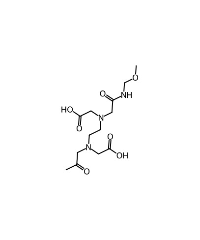 COCNC(=O)CN(CCN(CC(C)=O)CC(=O)O)CC(=O)O